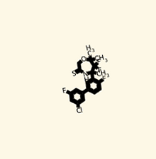 CC1(C)OCC(=S)NC(C)(c2cc(-c3cc(F)cc(Cl)c3)ccc2F)C1(F)F